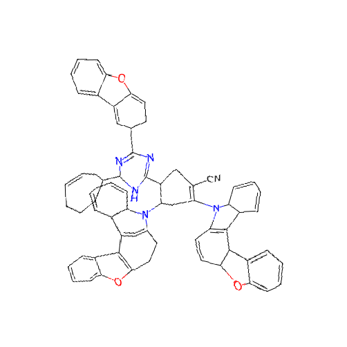 N#CC1=C(N2C3=C(C4C=CC=CC42)C2c4ccccc4OC2C=C3)CC(N2C3=C(c4c(oc5ccccc45)CC3)C3C=CC=CC32)C(C2=NC(C3C=c4c(oc5ccccc45)=CC3)=NC(C3C=CCCC3)N2)C1